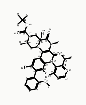 COc1ccccc1-c1c(F)cc2c3c(c(=O)n(-c4c(C)ccnc4C(C)C)c2c1F)N(C)C(=O)[C@H]1CN(C(=O)OC(C)(C)C)[C@H](C)CN31